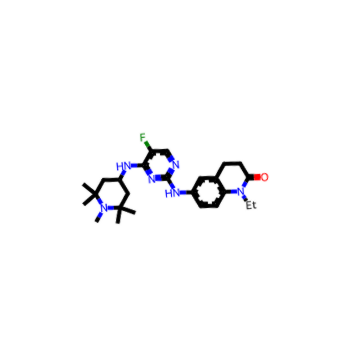 CCN1C(=O)CCc2cc(Nc3ncc(F)c(NC4CC(C)(C)N(C)C(C)(C)C4)n3)ccc21